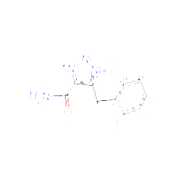 NC(=O)c1nn[nH]c1Cc1c(F)cccc1F